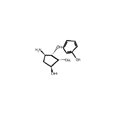 N[C@@H]1C[C@H](O)[C@@H](O)[C@H]1O.Oc1ccccc1